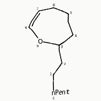 CCCCCCCC1CCCC=CO1